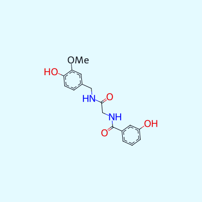 COc1cc(CNC(=O)CNC(=O)c2cccc(O)c2)ccc1O